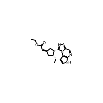 CCOC(=O)/C=C1/C[C@@H](CC)[C@@H](c2nnc3cnc4[nH]ccc4n23)C1